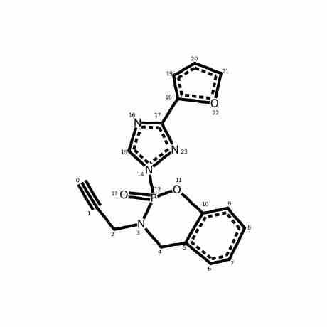 C#CCN1Cc2ccccc2OP1(=O)n1cnc(-c2ccco2)n1